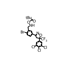 CC(C)(C)C(=O)ONCc1cc(C2=NOC(c3cc(Cl)c(Cl)c(Cl)c3)(C(F)(F)F)C2)ccc1Br